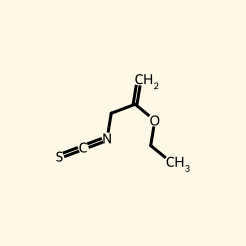 C=C(CN=C=S)OCC